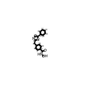 O=C(NO)c1ccc(Cc2noc(-c3ccccc3)n2)cc1